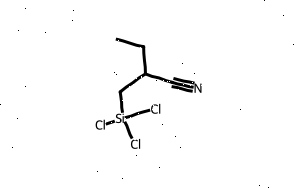 CCC(C#N)C[Si](Cl)(Cl)Cl